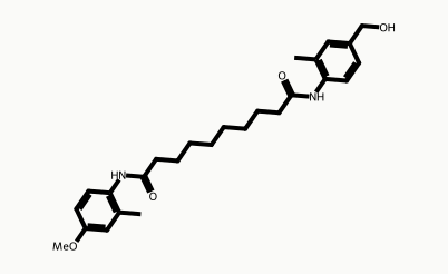 COc1ccc(NC(=O)CCCCCCCCC(=O)Nc2ccc(CO)cc2C)c(C)c1